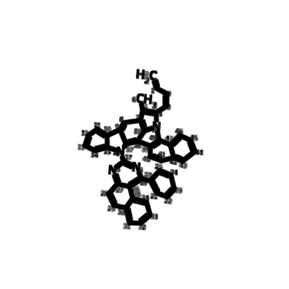 C=C/C=C\c1c(C)c2cc3c4ccccc4n(-c4nc(-c5ccccc5)c5c(ccc6ccccc65)n4)c3c3c4ccc5ccccc5c4n1c23